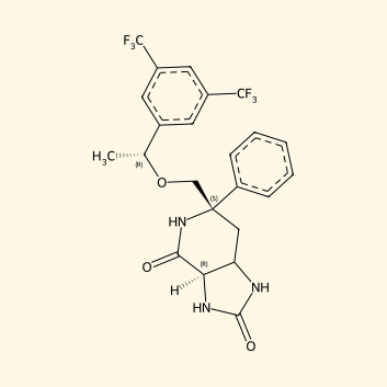 C[C@@H](OC[C@@]1(c2ccccc2)CC2NC(=O)N[C@H]2C(=O)N1)c1cc(C(F)(F)F)cc(C(F)(F)F)c1